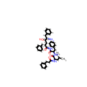 CC(C)CC(NC(=O)CCc1ccccc1)C(=O)NC(Cc1ccccc1)C(=O)NC(=O)[C@H](Cc1ccccc1)C[C@H](O)[C@@H](N)Cc1ccccc1